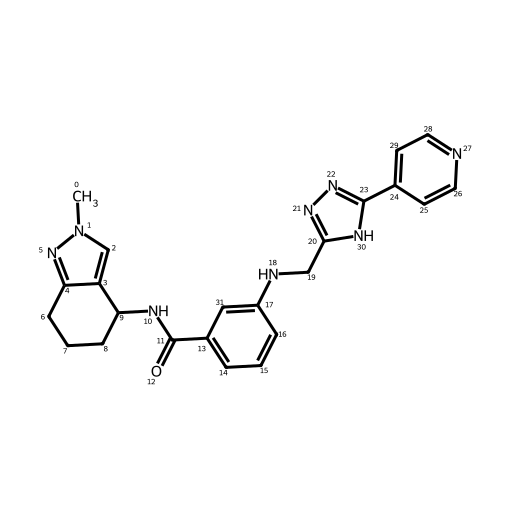 Cn1cc2c(n1)CCCC2NC(=O)c1cccc(NCc2nnc(-c3ccncc3)[nH]2)c1